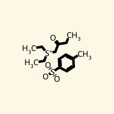 CCC(=O)C[S+](CC)CC.Cc1ccc(S(=O)(=O)[O-])cc1